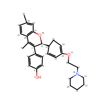 CC1=C(c2ccc(O)cc2)[C@H](C2C=CC(OCCN3CCCCC3)=CC2)Oc2cc(C)ccc21